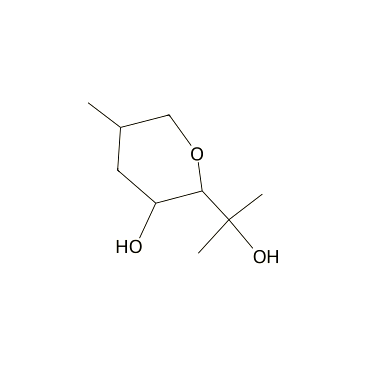 CC1COC(C(C)(C)O)C(O)C1